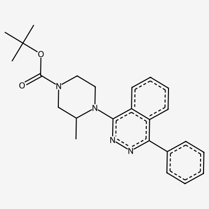 CC1CN(C(=O)OC(C)(C)C)CCN1c1nnc(-c2ccccc2)c2ccccc12